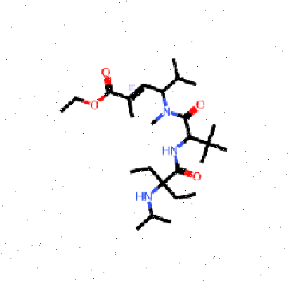 CCOC(=O)/C(C)=C/C(C(C)C)N(C)C(=O)C(NC(=O)C(CC)(CC)NC(C)C)C(C)(C)C